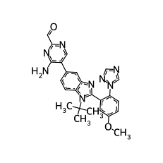 COc1ccc(-n2cncn2)c(-c2nc3cc(-c4cnc(C=O)nc4N)ccc3n2C(C)(C)C)c1